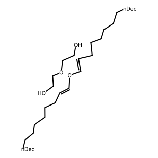 CCCCCCCCCCCCCCCC/C=C/O/C=C/CCCCCCCCCCCCCCCC.OCCOCCO